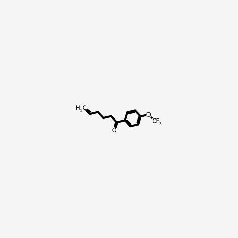 C=CCCCC(=O)c1ccc(OC(F)(F)F)cc1